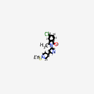 CCSN1CCC(c2cncc(N3C(=O)c4ccc(Cl)cc4C3C)c2)CC1